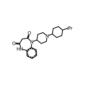 CC(C)C1CCC(N2CCC(N3C(=O)CC(=O)Nc4ccccc43)CC2)CC1